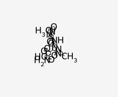 CC1Cc2nc3c(c(-c4cc(C(N)=O)c(O)c5c4OCO5)cn3CC(=O)Nc3cc(N4CCOC[C@@H]4C)ncc3Cl)c(=O)n2C1